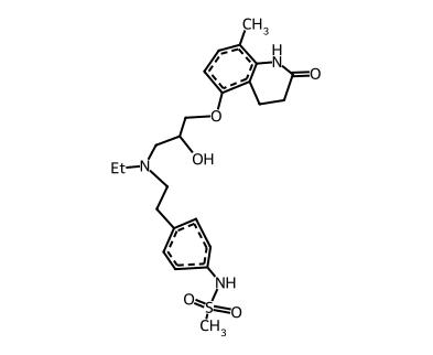 CCN(CCc1ccc(NS(C)(=O)=O)cc1)CC(O)COc1ccc(C)c2c1CCC(=O)N2